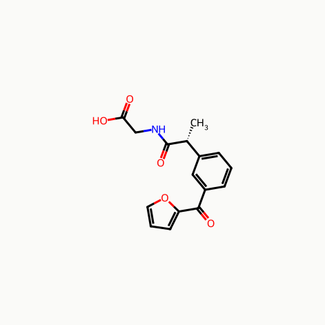 C[C@@H](C(=O)NCC(=O)O)c1cccc(C(=O)c2ccco2)c1